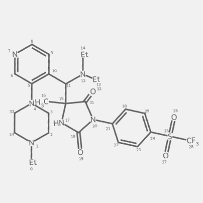 CCN1CCN(c2cnccc2C(N(CC)CC)C2(C)NC(=O)N(c3ccc(S(=O)(=O)C(F)(F)F)cc3)C2=O)CC1